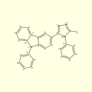 Cc1nnc(-c2ccc3c(c2)c2ccccc2n3-c2ccccc2)n1-c1ccccc1